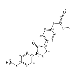 COC(=C=O)Cc1ccc(C2CCN(c3ccc(CN)cc3)C2=O)cc1